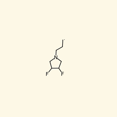 [CH2]CCN1CC(F)C(F)C1